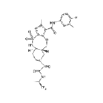 Cc1cc(NC(=O)c2c3c(cn2C)S(=O)(=O)N[C@@H]2CCN(C(=O)C(=O)N[C@H](C)C(F)(F)F)C[C@H]2CO3)ccc1F